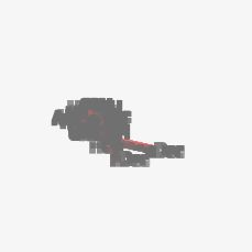 CCCCCCCCCCCCC/C=C/[C@@H](O)[C@H](CO[C@@H]1OC(CO)[C@@H](O[C@@H]2OC(CO)[C@H](O[C@@H]3OC(CO)[C@H](O[C@@H]4OC(CO)[C@H](O)[C@H](O[C@@H]5OC(CO)[C@H](O)[C@H](O[C@H]6C(O)[C@H](O)C(C)O[C@H]6O)C5O)C4NC(C)=O)[C@H](O[C@@H]4OC(CO)[C@H](O)[C@H](O)C4NC(C)=O)C3O)[C@H](O)C2O)[C@H](O)C1O)NC(=O)CCCCCCCCCCCCCCCCCCCCCCC